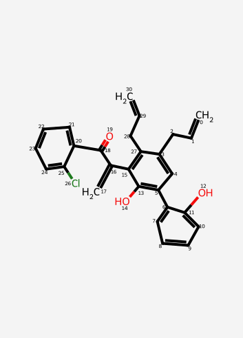 C=CCc1cc(-c2ccccc2O)c(O)c(C(=C)C(=O)c2ccccc2Cl)c1CC=C